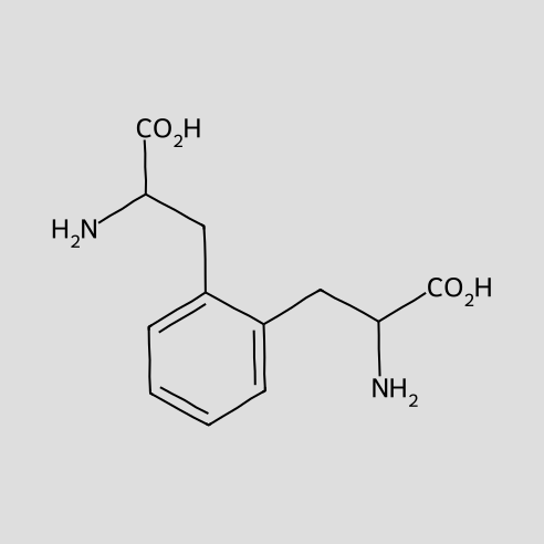 NC(Cc1ccccc1CC(N)C(=O)O)C(=O)O